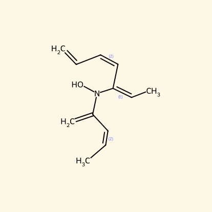 C=C/C=C\C(=C/C)N(O)C(=C)/C=C\C